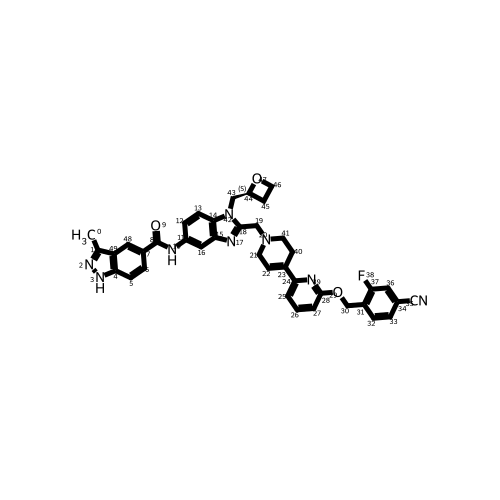 Cc1n[nH]c2ccc(C(=O)Nc3ccc4c(c3)nc(CN3CC=C(c5cccc(OCc6ccc(C#N)cc6F)n5)CC3)n4C[C@@H]3CCO3)cc12